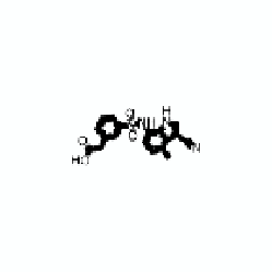 Cc1ccc(NS(=O)(=O)c2cccc(CC(=O)O)c2)c2[nH]cc(C#N)c12